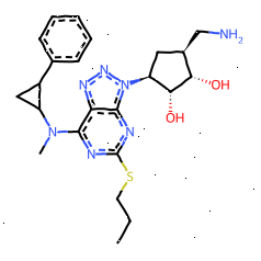 CCCSc1nc(N(C)C2CC2c2ccccc2)c2nnn([C@H]3C[C@@H](CN)[C@H](O)[C@@H]3O)c2n1